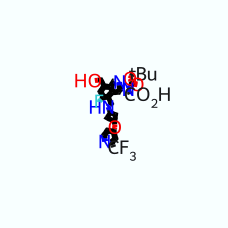 CC(C)(C)OC(=O)N(C(=O)O)c1cc2c(CNC3CC(Oc4ccnc(C(F)(F)F)c4)C3)c(F)cc(CO)c2cn1